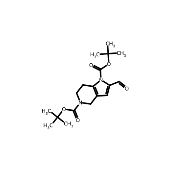 CC(C)(C)OC(=O)N1CCc2c(cc(C=O)n2C(=O)OC(C)(C)C)C1